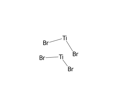 [Br][Ti][Br].[Br][Ti][Br]